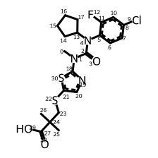 CN(C(=O)N(c1ccc(Cl)cc1F)C1CCCC1)c1ncc(SCC(C)(C)C(=O)O)s1